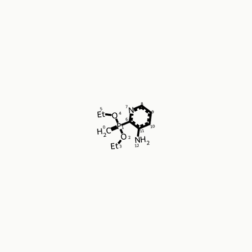 C=P(OCC)(OCC)c1ncccc1N